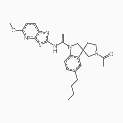 C=C(Nc1nc2ccc(OC)nc2s1)N1CC2(CCN(C(C)=O)C2)c2cc(CCCC)ccc21